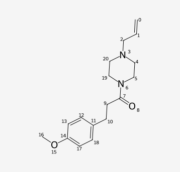 C=CCN1CCN(C(=O)CCc2ccc(OC)cc2)CC1